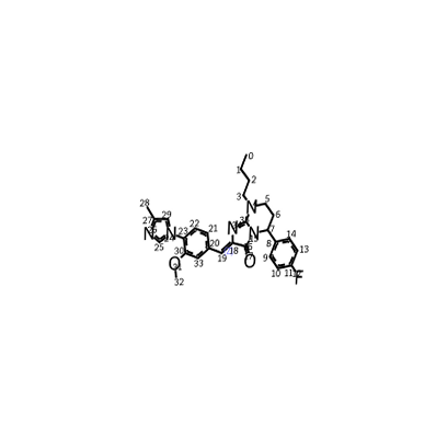 CCCCN1CCC(c2ccc(F)cc2)N2C(=O)/C(=C/c3ccc(-n4cnc(C)c4)c(OC)c3)N=C12